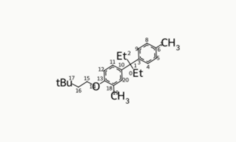 CCC(CC)(c1ccc(C)cc1)c1ccc(OCCC(C)(C)C)c(C)c1